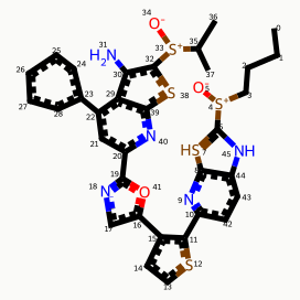 CCCC[S+]([O-])C1=[SH]c2nc(-c3sccc3-c3cnc(-c4cc(-c5ccccc5)c5c(N)c([S+]([O-])C(C)C)sc5n4)o3)ccc2N1